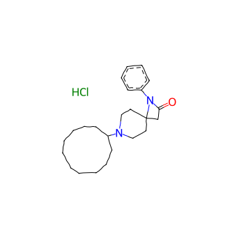 Cl.O=C1CC2(CCN(C3CCCCCCCCCC3)CC2)N1c1ccccc1